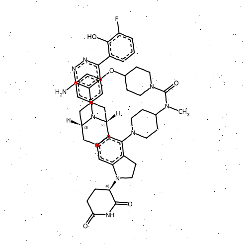 CN(C(=O)N1CCC(Oc2cccc(N3[C@@H]4COC[C@H]3CN(c3cc(-c5cccc(F)c5O)nnc3N)C4)c2)CC1)C1CCN(c2cccc3c2CCN3[C@@H]2CCC(=O)NC2=O)CC1